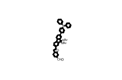 CCCCC1(CCCC)c2cc(-c3ccc(N(c4ccccc4)c4ccccc4)cc3)ccc2-c2ccc(-c3cc4ccc(C=O)cc4o3)cc21